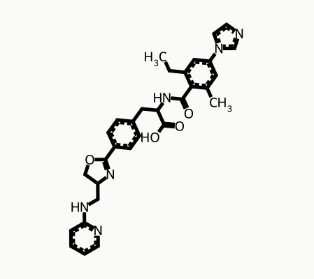 CCc1cc(-n2ccnc2)cc(C)c1C(=O)NC(Cc1ccc(C2=NC(CNc3ccccn3)CO2)cc1)C(=O)O